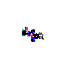 CCOc1c(F)cccc1-c1noc(C2CCCN2C(=O)c2cc(C)c(C)cc2-n2nccn2)n1